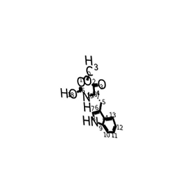 COC(=O)[C@H](Cc1c[nH]c2ccccc12)NC(=O)O